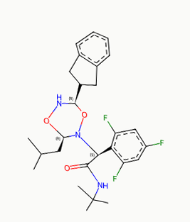 CC(C)C[C@H]1ON[C@@H](C2Cc3ccccc3C2)ON1[C@H](C(=O)NC(C)(C)C)c1c(F)cc(F)cc1F